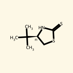 CC(C)(C)[C@@H]1CSC(=S)N1